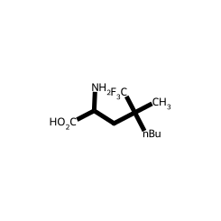 CCCCC(C)(CC(N)C(=O)O)C(F)(F)F